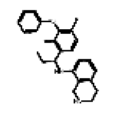 CC[C@H](Nc1cccc2c1CNCC2)c1ccc(F)c(Oc2ccccc2)c1F